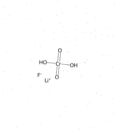 [F-].[Li+].[O]=[Cr](=[O])([OH])[OH]